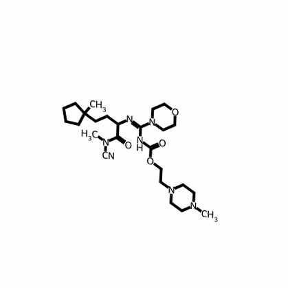 CN1CCN(CCOC(=O)NC(=NC(CCC2(C)CCCC2)C(=O)N(C)C#N)N2CCOCC2)CC1